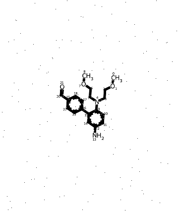 COCCN(CCOC)c1ccc(N)cc1-c1ccc(C=O)cc1